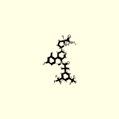 Cc1cc(F)ccc1C1=C(N(C)C(=O)C(C)(C)c2cc(C(F)(F)F)cc(C(F)(F)F)c2)C=NC([C@H]2CC[C@@](C)(C(N)=O)N2)C1